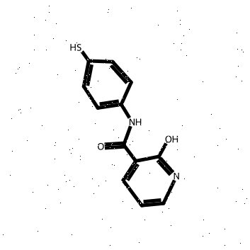 O=C(Nc1ccc(S)cc1)c1cccnc1O